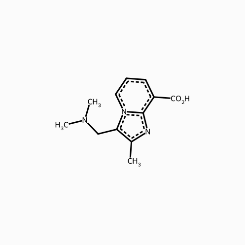 Cc1nc2c(C(=O)O)cccn2c1CN(C)C